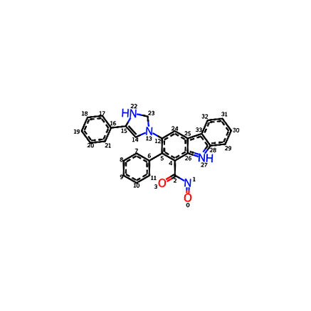 O=NC(=O)c1c(-c2ccccc2)c(N2C=C(c3ccccc3)NC2)cc2c1[nH]c1ccccc12